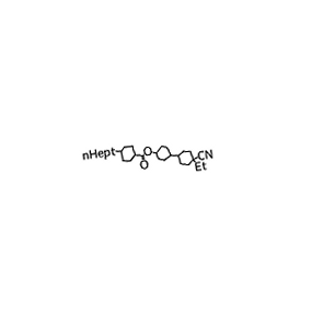 CCCCCCCC1CCC(C(=O)OC2CCC(C3CCC(C#N)(CC)CC3)CC2)CC1